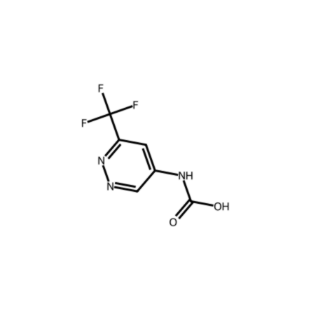 O=C(O)Nc1cnnc(C(F)(F)F)c1